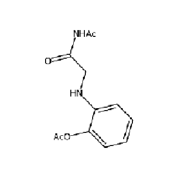 CC(=O)NC(=O)CNc1ccccc1OC(C)=O